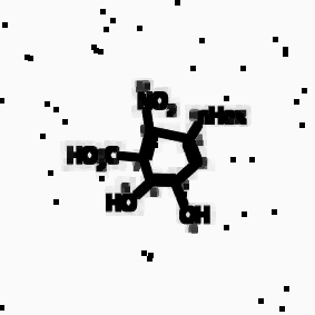 CCCCCCc1cc(O)c(O)c(C(=O)O)c1[N+](=O)[O-]